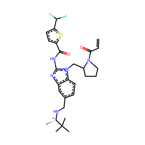 C=CC(=O)N1CCCC1Cn1c(NC(=O)c2ccc(C(F)F)s2)nc2cc(CN[C@@H](C)C(C)(C)C)ccc21